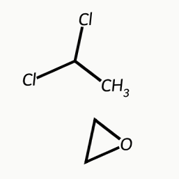 C1CO1.CC(Cl)Cl